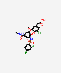 CCNC(=O)c1ccc(Oc2c(Br)cc(CC(=O)O)cc2OC)c(NS(=O)(=O)c2ccc(F)cc2F)c1